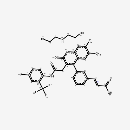 Cc1cc2c(-c3cccc(/C=C/C(=O)O)c3)c(CC(=O)Nc3ccc(F)cc3C(F)(F)F)c(=O)oc2cc1Cl.OCCNCCO